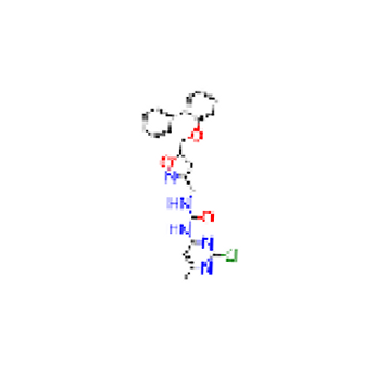 Cc1cc(NC(=O)NCC2=NOC(COc3ccccc3-c3ccccc3)C2)nc(Cl)n1